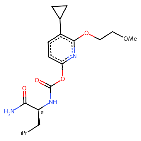 COCCOc1nc(OC(=O)N[C@@H](CC(C)C)C(N)=O)ccc1C1CC1